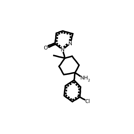 CC1(n2ncccc2=O)CCC(N)(c2cccc(Cl)c2)CC1